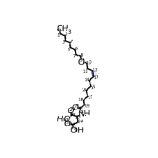 CCCCCCCCCOCC/C=C\CCCCCCC(=O)NC(CC(=O)O)C(=O)O